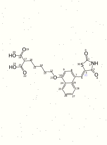 O=C1NC(=O)/C(=C/c2ccc(OCCCCCC(C(=O)O)C(=O)O)c3ccccc23)S1